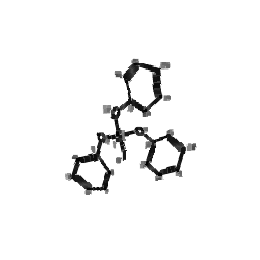 I[Si](Oc1ccccc1)(Oc1ccccc1)Oc1ccccc1